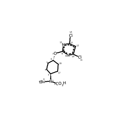 CC(C)(C)N(C(=O)O)[C@H]1CC[C@H](Oc2nc(Cl)cc(Cl)n2)CC1